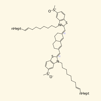 CCCCCCCC=CCCCCCCCN1/C(=C/C2=CC3=C/C(=C/c4sc5ccc([S+](C)[O-])cc5[n+]4CCCCCCCC=CCCCCCCC)CCC3CC2)Sc2ccc([S+](C)[O-])cc21